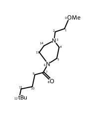 COCCN1CCN(C(=O)CCCC(C)(C)C)CC1